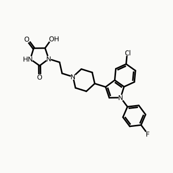 O=C1NC(=O)N(CCN2CCC(c3cn(-c4ccc(F)cc4)c4ccc(Cl)cc34)CC2)C1O